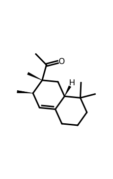 CC(=O)[C@]1(C)C[C@H]2C(=C[C@H]1C)CCCC2(C)C